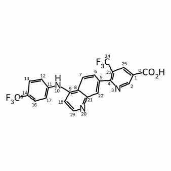 O=C(O)c1cnc(-c2ccc3c(Nc4ccc(C(F)(F)F)cc4)ccnc3c2)c(C(F)(F)F)c1